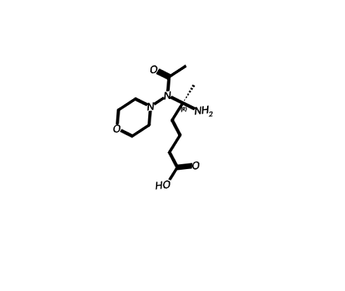 CC(=O)N(N1CCOCC1)[C@@](C)(N)CCCC(=O)O